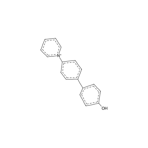 Oc1ccc(-c2ccc(-[n+]3ccccc3)cc2)cc1